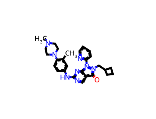 Cc1cc(Nc2ncc3c(=O)n(CC4CCC4)n(-c4ccccn4)c3n2)ccc1N1CCN(C)CC1